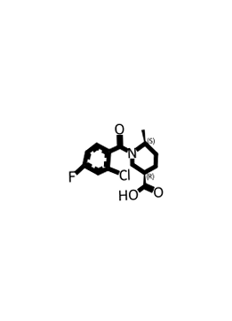 C[C@H]1CC[C@@H](C(=O)O)CN1C(=O)c1ccc(F)cc1Cl